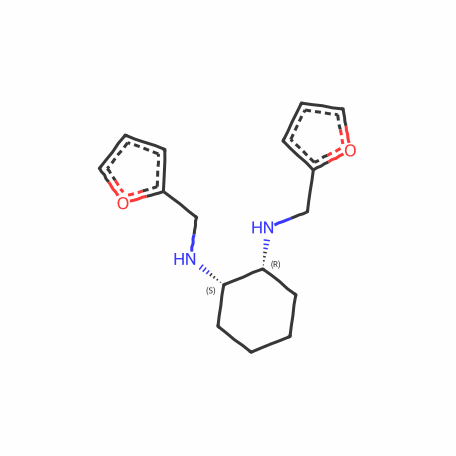 c1coc(CN[C@H]2CCCC[C@H]2NCc2ccco2)c1